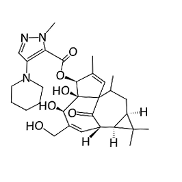 CC1=CC23C(=O)[C@@H](C=C(CO)[C@@H](O)[C@]2(O)[C@H]1OC(=O)c1c(N2CCCCC2)cnn1C)[C@H]1[C@@H](CC3C)C1(C)C